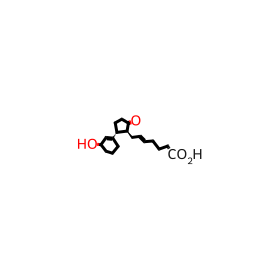 O=C(O)CCCC=CC[C@@H]1C(=O)CC[C@H]1C1=CC(O)CCC1